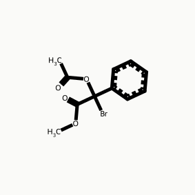 COC(=O)C(Br)(OC(C)=O)c1ccccc1